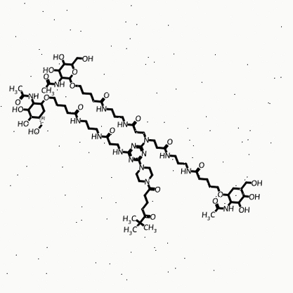 CC(=O)NC1C(OCCCCC(=O)NCCCNC(=O)CCN(CCC(=O)NCCCNC(=O)CCCCOC2OC(CO)C(O)C(O)C2NC(C)=O)c2nc(NCCC(=O)NCCCNC(=O)CCCCOC3C[C@H](CO)C(O)C(O)C3NC(C)=O)nc(N3CCN(C(=O)CCCC(=O)C(C)(C)C)CC3)n2)CC(CO)C(O)C1O